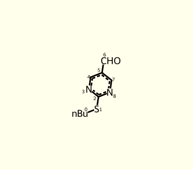 CCCCSc1ncc(C=O)cn1